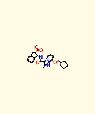 Cc1nc2c(OCC3CCCCC3)cccn2c1C(=O)N[C@@H]1c2ccccc2C[C@H]1C(=O)O